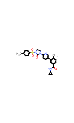 Cc1ccc(S(=O)(=O)N2CCN(c3ccc(-c4cc(C(=O)NC5CC5)ccc4C)cn3)C2=O)cc1